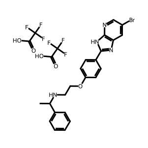 CC(NCCOc1ccc(-c2nc3cc(Br)cnc3[nH]2)cc1)c1ccccc1.O=C(O)C(F)(F)F.O=C(O)C(F)(F)F